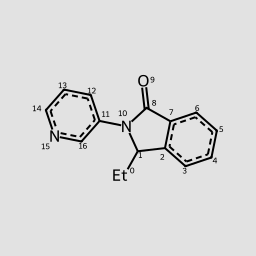 CCC1c2ccccc2C(=O)N1c1cccnc1